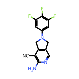 N#Cc1c(N)ncc2c1CN(c1cc(F)c(F)c(F)c1)C2